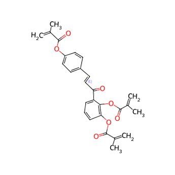 C=C(C)C(=O)Oc1ccc(/C=C/C(=O)c2cccc(OC(=O)C(=C)C)c2OC(=O)C(=C)C)cc1